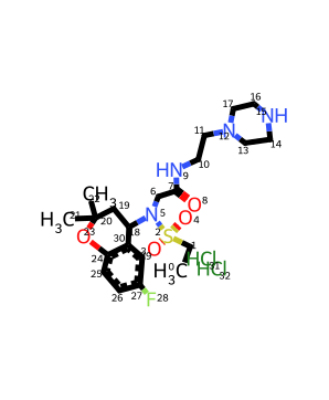 CCS(=O)(=O)N(CC(=O)NCCN1CCNCC1)C1CC(C)(C)Oc2ccc(F)cc21.Cl.Cl